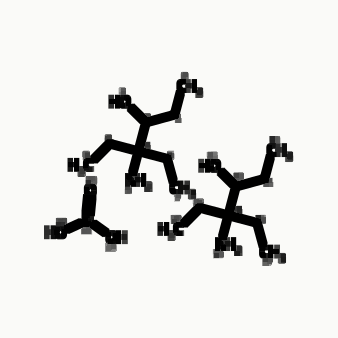 CCC(O)C(N)(CC)CC.CCC(O)C(N)(CC)CC.O=[Si](O)O